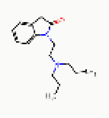 CCCN(CCC)CCN1C(=O)Cc2ccccc21